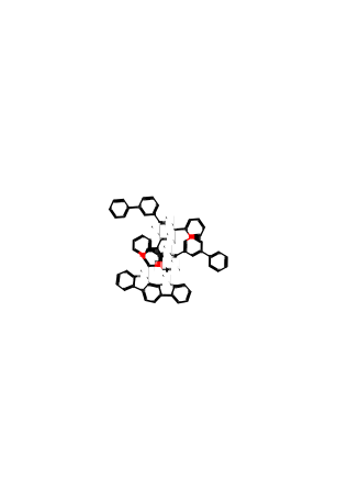 c1ccc(-c2cccc(-c3nc(-c4ccccc4)nc(-c4ccc(-n5c6ccccc6c6ccc7c8ccccc8n(-c8nc(-c9ccccc9)nc(-c9cccc(-c%10ccccc%10)c9)n8)c7c65)cc4)n3)c2)cc1